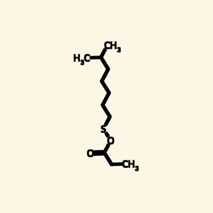 CCC(=O)OSCCCCCC(C)C